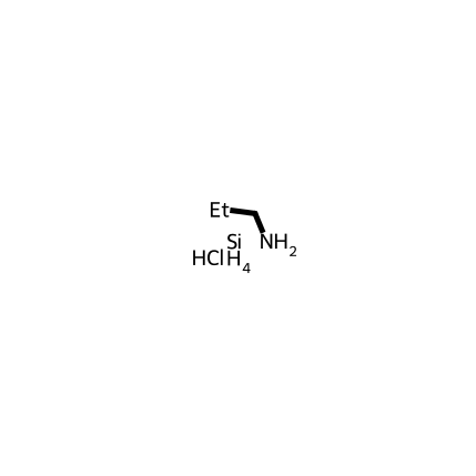 CCCN.Cl.[SiH4]